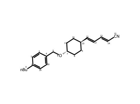 CCCCc1ccc(CO[C@H]2CC[C@H](C=CC=CC#N)CC2)cc1